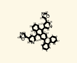 c1ccc(-c2ccccc2-c2ccc3c(-c4cncc(-c5cnco5)c4)c4ccccc4c(-c4cncc(-c5cnco5)c4)c3c2)cc1